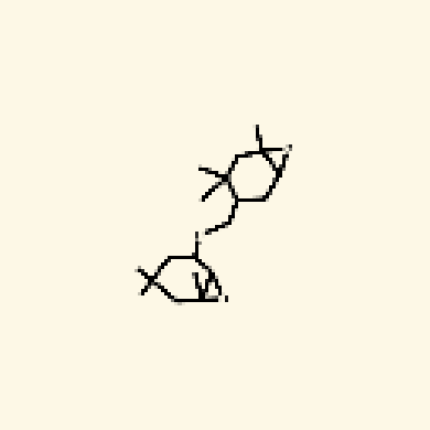 CC1(C)CC(OCC2CC3OC3(C)CC2(C)C)C2OC2(C)C1